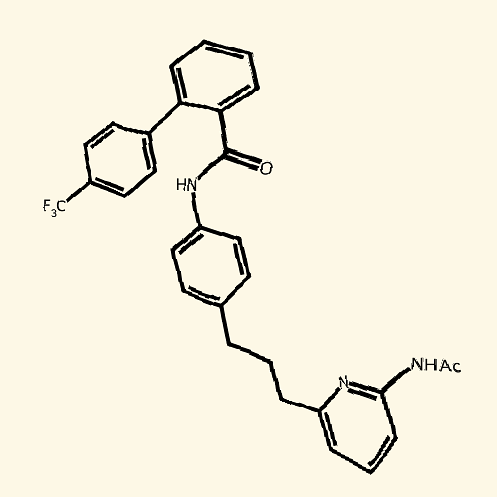 CC(=O)Nc1cccc(CCCc2ccc(NC(=O)c3ccccc3-c3ccc(C(F)(F)F)cc3)cc2)n1